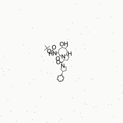 C[C@H]1C[C@H]2CC[C@@H](C(=O)N3CC[C@@H](c4ccccc4)C3)N2C(=O)[C@@H](NC(=O)OC(C)(C)C)C[C@@H]1O